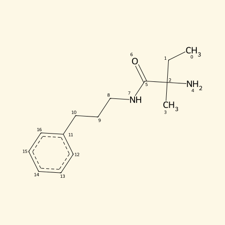 CCC(C)(N)C(=O)NCCCc1ccccc1